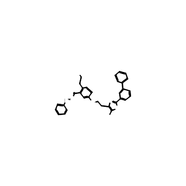 Cc1oc(-c2cccc(-c3ccccc3)c2)nc1CCOc1ccc(CCC(=O)O)c(C(=O)NNc2ccccc2)c1